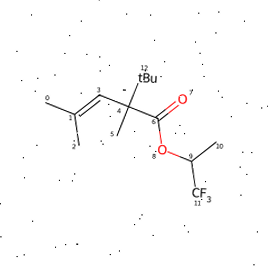 CC(C)=CC(C)(C(=O)OC(C)C(F)(F)F)C(C)(C)C